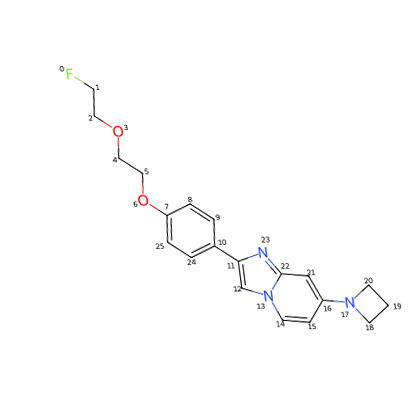 FCCOCCOc1ccc(-c2cn3ccc(N4CCC4)cc3n2)cc1